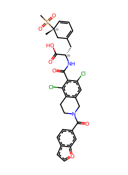 C[C@@]1(S(C)(=O)=O)C=CC=C(C[C@H](NC(=O)c2c(Cl)cc3c(c2Cl)CCN(C(=O)c2ccc4ccoc4c2)C3)C(=O)O)C1